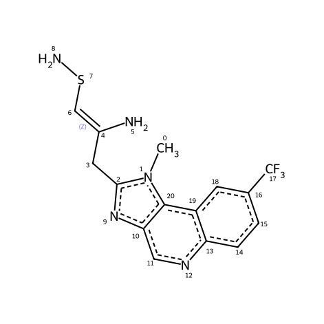 Cn1c(C/C(N)=C/SN)nc2cnc3ccc(C(F)(F)F)cc3c21